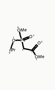 CCCOP(=O)(CC(=O)OC)OC